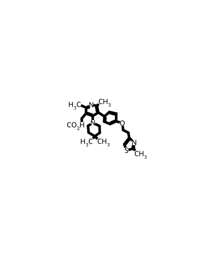 Cc1nc(CCOc2ccc(-c3c(C)nc(C)c(CC(=O)O)c3N3CCC(C)(C)CC3)cc2)cs1